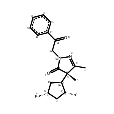 CC[C@H]1C[C@@H](C)[C@H]([C@]2(C)C(=O)N(CC(=O)c3ccccc3)N=C2C)C1